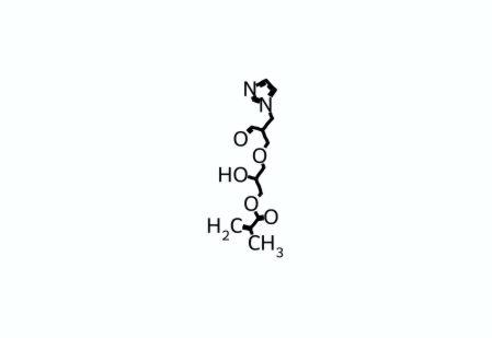 C=C(C)C(=O)OCC(O)COCC(C=O)Cn1ccnc1